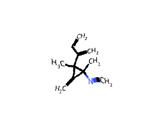 C=CC(=C)C1(C)C(=C)C1(C)N=C